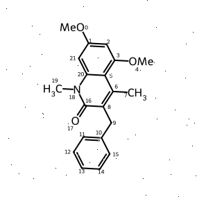 COc1cc(OC)c2c(C)c(Cc3ccccc3)c(=O)n(C)c2c1